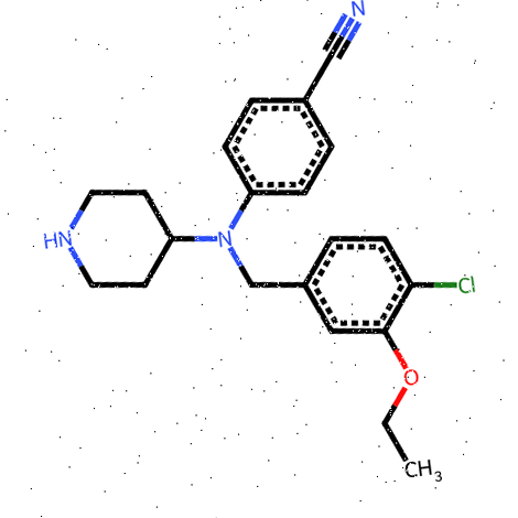 CCOc1cc(CN(c2ccc(C#N)cc2)C2CCNCC2)ccc1Cl